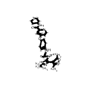 Cc1noc(C)c1-c1nc(C(C)(C)C)[nH]c1NC(=O)Nc1ccc(Oc2ccnc(C(=O)Nc3ccncc3)c2)cc1